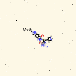 COCCNCc1ccc(C(=O)Nc2sc(-c3ccncc3)nc2C(N)=O)cc1